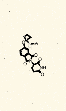 CC(C)NC1(Oc2ccc3c(c2)C(=O)N(C2CCC(=O)NC2=O)C3=O)CCC1